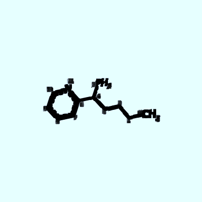 CCCCC(P)c1ccccn1